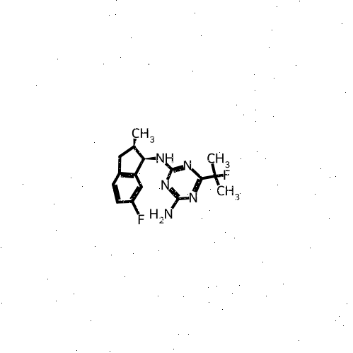 C[C@@H]1Cc2ccc(F)cc2[C@@H]1Nc1nc(N)nc(C(C)(C)F)n1